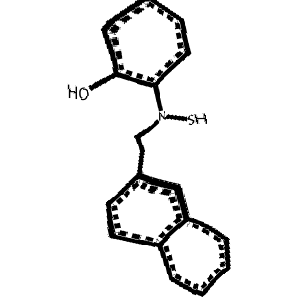 Oc1ccccc1N(S)Cc1ccc2ccccc2c1